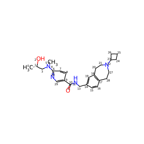 C[C@H](O)CN(C)c1ccc(C(=O)NCc2ccc3c(c2)CCN(C2CCC2)CC3)cn1